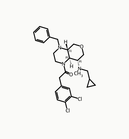 CN(CC1CC1)[C@H]1COC[C@@H]2[C@@H]1N(C(=O)Cc1ccc(Cl)c(Cl)c1)CCN2Cc1ccccc1